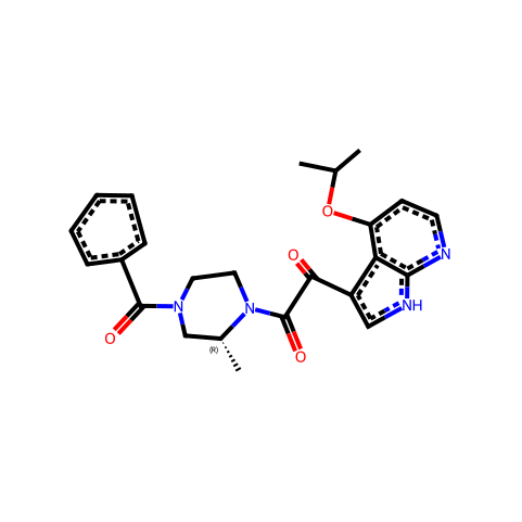 CC(C)Oc1ccnc2[nH]cc(C(=O)C(=O)N3CCN(C(=O)c4ccccc4)C[C@H]3C)c12